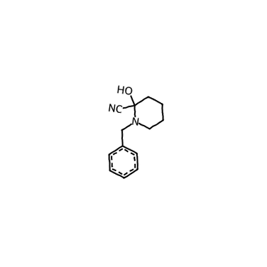 N#CC1(O)CCCCN1Cc1ccccc1